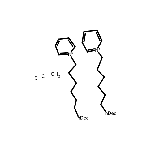 CCCCCCCCCCCCCCCC[n+]1ccccc1.CCCCCCCCCCCCCCCC[n+]1ccccc1.O.[Cl-].[Cl-]